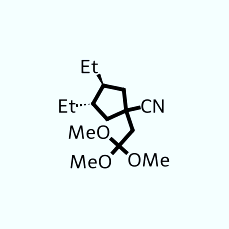 CC[C@H]1CC(C#N)(CC(OC)(OC)OC)C[C@@H]1CC